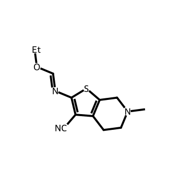 CCOC=Nc1sc2c(c1C#N)CCN(C)C2